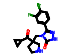 O=C(C1CC1)C1(Cn2c(-c3ccc(Br)c(F)c3)n[nH]c2=O)CCNC1